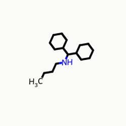 CCCCNC(C1CCCCC1)C1CCCCC1